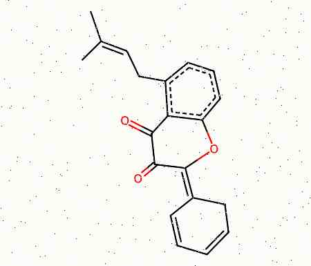 CC(C)=CCc1cccc2c1C(=O)C(=O)C(=C1C=CC=CC1)O2